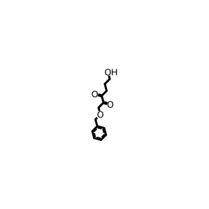 O=C(CCCO)C(=O)COCc1ccccc1